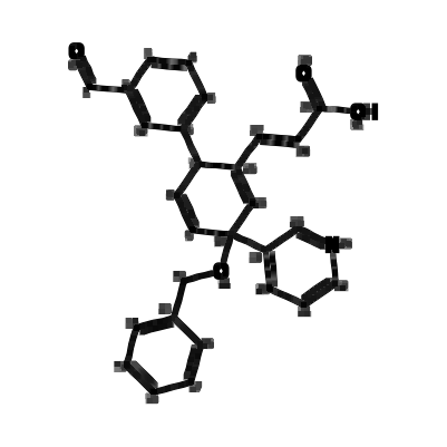 O=Cc1cccc(C2C=CC(OCc3ccccc3)(c3cccnc3)C=C2/C=C/C(=O)O)c1